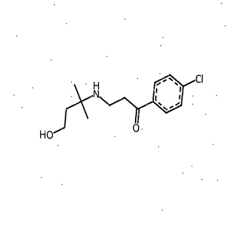 CC(C)(CCO)NCCC(=O)c1ccc(Cl)cc1